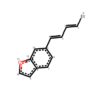 [CH2]CC=CC=Cc1ccc2ccoc2c1